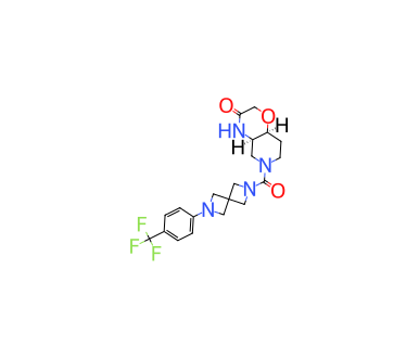 O=C1CO[C@H]2CCN(C(=O)N3CC4(C3)CN(c3ccc(C(F)(F)F)cc3)C4)C[C@H]2N1